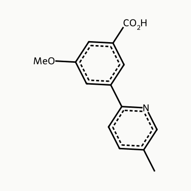 COc1cc(C(=O)O)cc(-c2ccc(C)cn2)c1